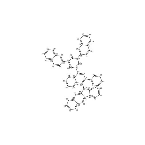 c1ccc(-c2cc(-c3nc(-c4ccc5ccccc5c4)nc(-c4ccc5ccccc5c4)n3)c3ccccc3c2-n2c3ccccc3c3cc4ccccc4cc32)cc1